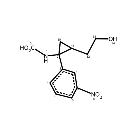 O=C(O)NC1(c2cccc([N+](=O)[O-])c2)CC1CCO